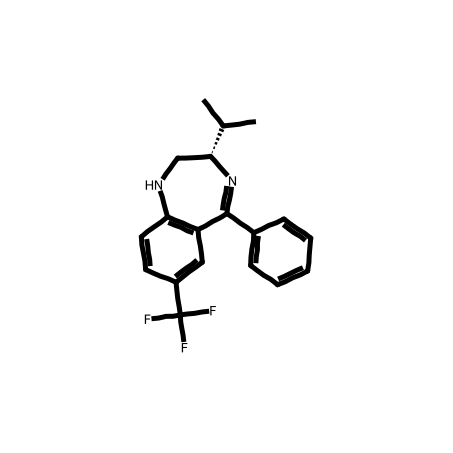 CC(C)[C@H]1CNc2ccc(C(F)(F)F)cc2C(c2ccccc2)=N1